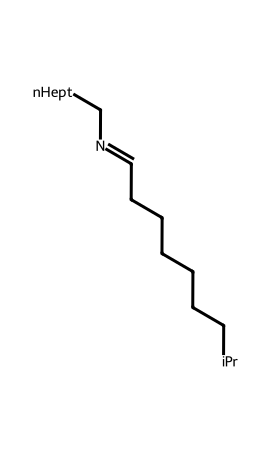 CCCCCCCCN=CCCCCCCC(C)C